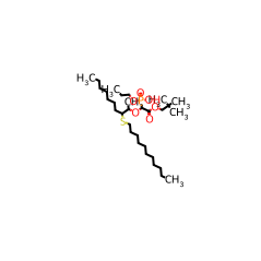 CCCCCCCCCCCSC(CCCCCCC)C(C)OC(C(=O)OCC(C)(C)C)P(=O)(O)OCCC